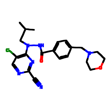 CC(C)CN(NC(=O)c1ccc(CN2CCOCC2)cc1)c1nc(C#N)ncc1Cl